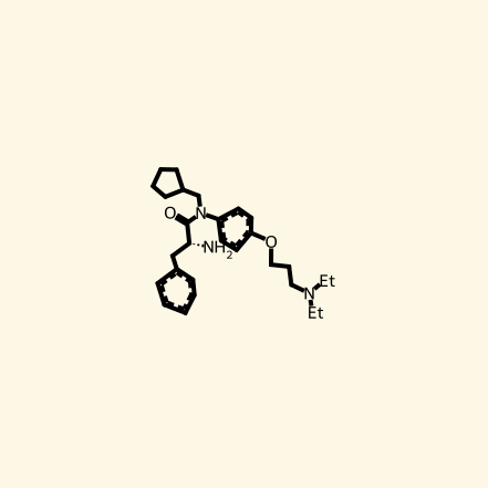 CCN(CC)CCCOc1ccc(N(CC2CCCC2)C(=O)[C@H](N)Cc2ccccc2)cc1